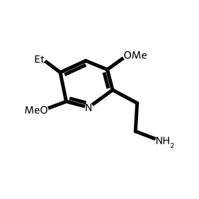 CCc1cc(OC)c(CCN)nc1OC